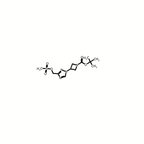 CC(C)(C)OC(=O)N1CC(n2cnc(COS(C)(=O)=O)n2)C1